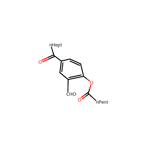 CCCCCCCC(=O)c1ccc(OC(=O)CCCCC)c([C]=O)c1